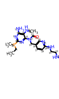 CC[P@@](C)c1nc(N)c(NC)c(N(C=O)Cc2ccc(NCCNC)nc2)n1